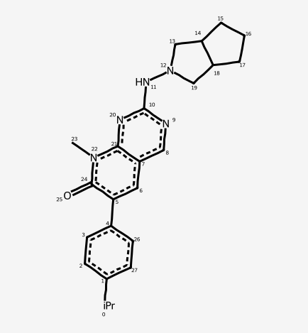 CC(C)c1ccc(-c2cc3cnc(NN4CC5CCCC5C4)nc3n(C)c2=O)cc1